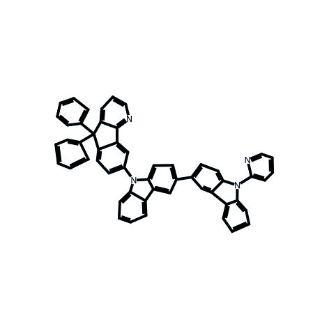 c1ccc(C2(c3ccccc3)c3ccc(-n4c5ccccc5c5cc(-c6ccc7c(c6)c6ccccc6n7-c6ccccn6)ccc54)cc3-c3ncccc32)cc1